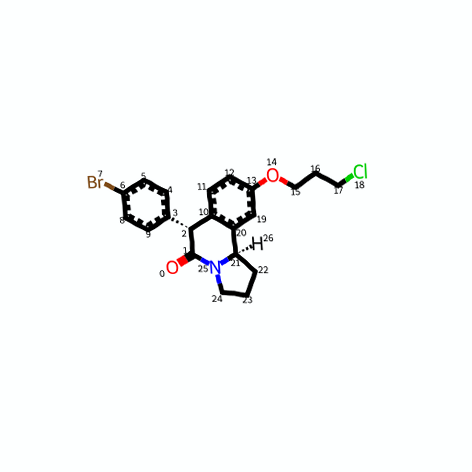 O=C1[C@H](c2ccc(Br)cc2)c2ccc(OCCCCl)cc2[C@H]2CCCN12